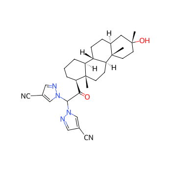 C[C@@]1(O)CC[C@@]2(C)[C@@H](CC[C@@H]3[C@@H]2CC[C@]2(C)[C@@H](C(=O)C(n4cc(C#N)cn4)n4cc(C#N)cn4)CCC[C@@H]32)C1